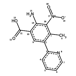 Cc1c(-c2ccccn2)cc(C(=O)O)c(N)c1[N+](=O)[O-]